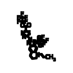 CCCN1CCCc2cc(N=Nc3nnc(C(=O)OC(F)(F)C(F)(F)F)s3)c(NS(=O)(=O)C(F)(F)F)cc21